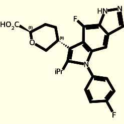 CC(C)c1c([C@H]2CC[C@H](C(=O)O)OC2)c2c(F)c3[nH]ncc3cc2n1-c1ccc(F)cc1